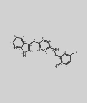 Fc1ccc(F)c(CNc2ccc(Cc3c[nH]c4c3=CCCN=4)cn2)c1